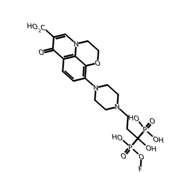 O=C(O)c1cn2c3c(c(N4CCN(CCC(O)(P(=O)(O)O)P(=O)(O)OF)CC4)ccc3c1=O)OCC2